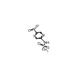 CS(=O)(=O)Nc1cnc([N+](=O)[O-])cn1